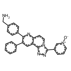 NCc1ccc(-c2nc3ccn4c(-c5ccc[n+]([O-])c5)nnc4c3cc2-c2ccccc2)cc1